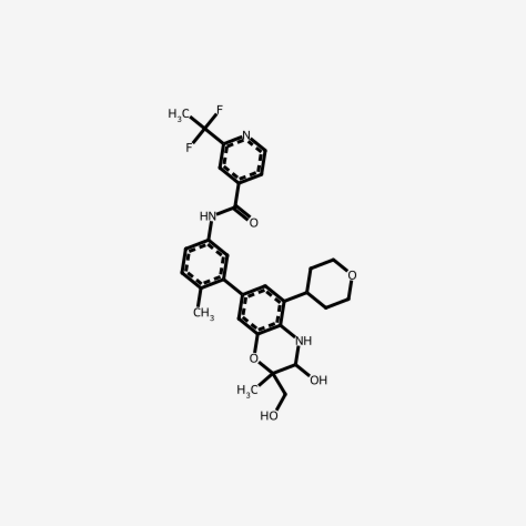 Cc1ccc(NC(=O)c2ccnc(C(C)(F)F)c2)cc1-c1cc2c(c(C3CCOCC3)c1)NC(O)C(C)(CO)O2